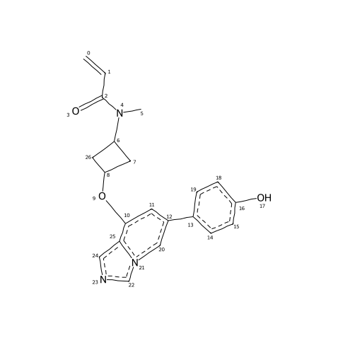 C=CC(=O)N(C)C1CC(Oc2cc(-c3ccc(O)cc3)cn3cncc23)C1